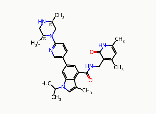 Cc1cc(C)c(CNC(=O)c2cc(-c3ccc(N4C[C@H](C)NC[C@@H]4C)nc3)cc3c2c(C)cn3C(C)C)c(=O)[nH]1